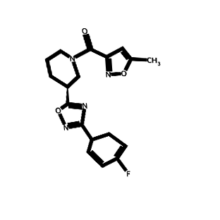 Cc1cc(C(=O)N2CCC[C@H](c3nc(C4C=CC(F)=CC4)no3)C2)no1